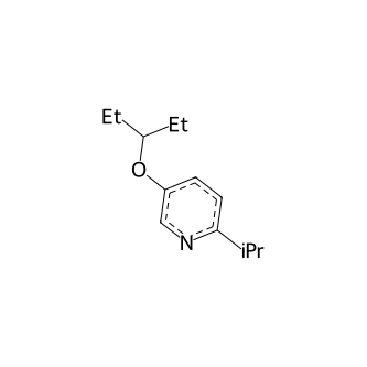 CCC(CC)Oc1ccc(C(C)C)nc1